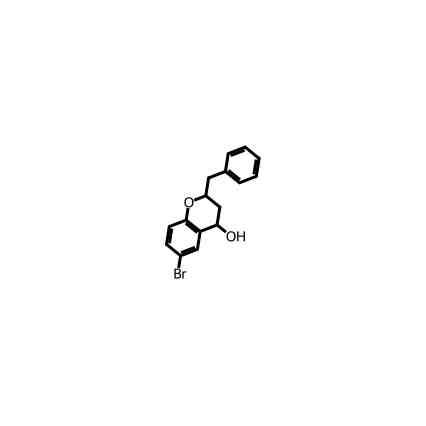 OC1CC(Cc2ccccc2)Oc2ccc(Br)cc21